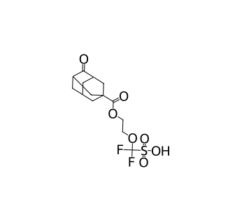 O=C1C2CC3CC1CC(C(=O)OCCOC(F)(F)S(=O)(=O)O)(C3)C2